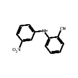 N#Cc1ccccc1Nc1cccc([N+](=O)[O-])c1